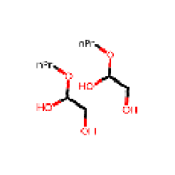 CCCOC(O)CO.CCCOC(O)CO